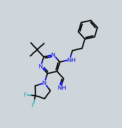 CC(C)(C)c1nc(NCCc2ccccc2)c(C=N)c(N2CCC(F)(F)C2)n1